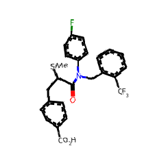 CSC(Cc1ccc(C(=O)O)cc1)C(=O)N(Cc1ccccc1C(F)(F)F)c1ccc(F)cc1